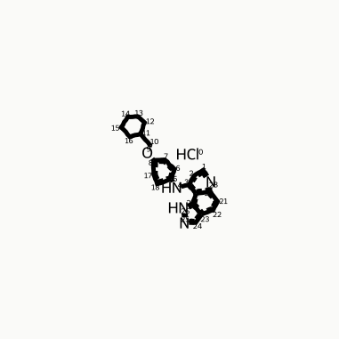 Cl.c1cc(Nc2ccc(OCC3CCCCC3)cc2)c2c(ccc3cn[nH]c32)n1